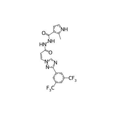 Cc1[nH]ccc1C(=O)NNC(=O)/C=C\n1cnc(-c2cc(C(F)(F)F)cc(C(F)(F)F)c2)n1